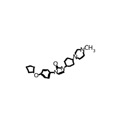 CN1CCN(C2CCC(n3ccn(-c4ccc(OC5CCCC5)cc4)c3=O)CC2)CC1